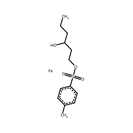 CCCC(O)CCOS(=O)(=O)c1ccc(C)cc1.[Fe]